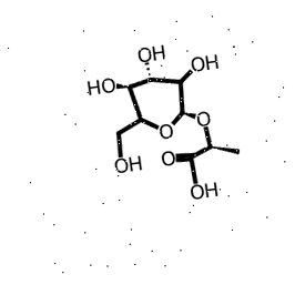 C[C@H](O[C@H]1OC(CO)[C@@H](O)[C@H](O)C1O)C(=O)O